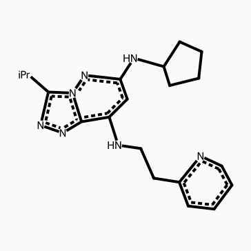 CC(C)c1nnc2c(NCCc3ccccn3)cc(NC3CCCC3)nn12